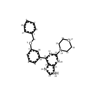 c1ccc(COc2cccc(-c3nc(N4CCOCC4)nc4[nH]cnc34)c2)cc1